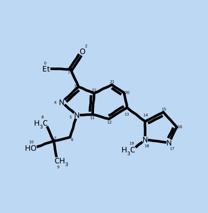 CCC(=O)c1nn(CC(C)(C)O)c2cc(-c3ccnn3C)ccc12